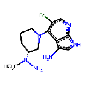 Nc1c[nH]c2ncc(Br)c(N3CCC[C@@H](N(N)C(=O)O)C3)c12